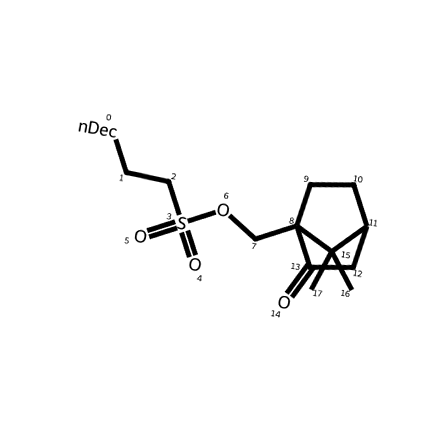 CCCCCCCCCCCCS(=O)(=O)OCC12CCC(CC1=O)C2(C)C